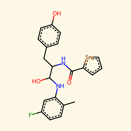 Cc1ccc(F)cc1NC(O)C(Cc1ccc(O)cc1)NC(=O)c1cccs1